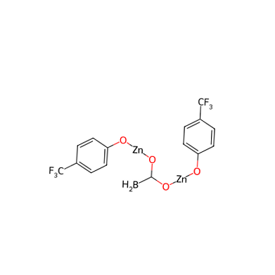 BC([O][Zn][O]c1ccc(C(F)(F)F)cc1)[O][Zn][O]c1ccc(C(F)(F)F)cc1